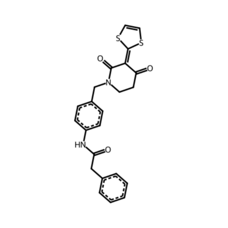 O=C(Cc1ccccc1)Nc1ccc(CN2CCC(=O)C(=C3SC=CS3)C2=O)cc1